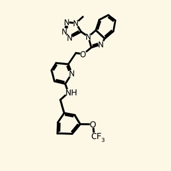 Cn1nnnc1-n1c(OCc2cccc(NCc3cccc(OC(F)(F)F)c3)n2)nc2ccccc21